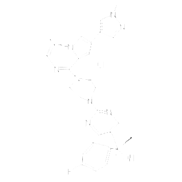 Cn1cc(-c2cn3ncnc(N4CCN(c5ncc([C@](C)(O)c6ccc(F)cc6)cn5)CC4)c3c2Cl)cn1